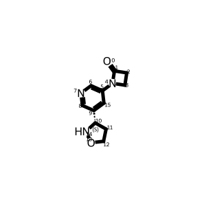 O=C1CCN1c1cncc([C@@H]2CCON2)c1